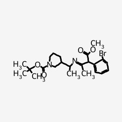 COC(=O)C(/C(C)=N/C(C)C1CCCN(C(=O)OC(C)(C)C)C1)c1ccccc1Br